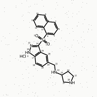 Cl.O=S(=O)(c1cccc2ccccc12)c1n[nH]c2ccc(CNC3CCNC3)cc12